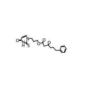 O=C(CCCc1ccccc1)CC(=O)OCCCn1ccc(=O)[nH]c1=S